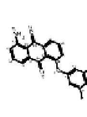 Cc1cc(C)cc(Oc2cccc3c2C(=O)c2cccc(N)c2C3=O)c1